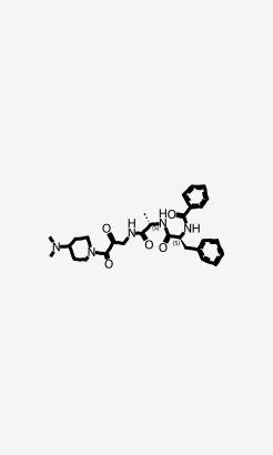 C[C@H](NC(=O)[C@H](Cc1ccccc1)NC(=O)c1ccccc1)C(=O)NCC(=O)C(=O)N1CCC(N(C)C)CC1